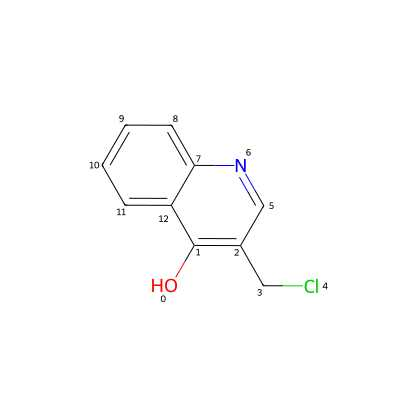 Oc1c(CCl)cnc2ccccc12